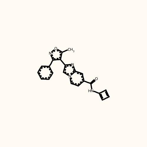 Cc1onc(-c2ccccc2)c1-c1cn2ccc(C(=O)NC3=CC=C3)cc2n1